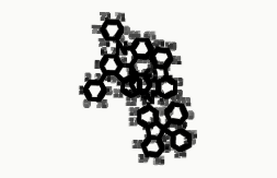 c1ccc(-c2ccc3c4c2-c2ccc(N(c5ccc6c(c5)C(c5ccccc5)(c5ccccc5)c5ccccc5-6)c5cccc6c5oc5ccccc56)cc2C4(c2ccccc2)c2ccccc2N3c2ccccc2)cc1